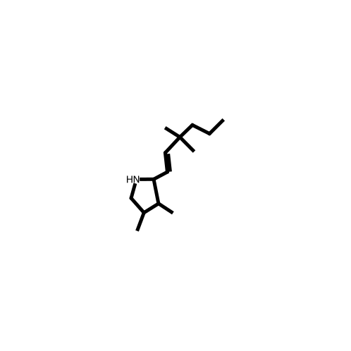 CCCC(C)(C)/C=C/C1NCC(C)C1C